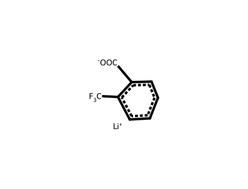 O=C([O-])c1ccccc1C(F)(F)F.[Li+]